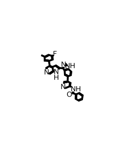 Cc1cc(F)cc(-c2cncc3[nH]c(-c4n[nH]c5ccc(-c6cncc(NC(=O)c7ccccc7)c6)cc45)cc23)c1